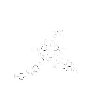 CC[C@H](C)[C@H](NC(=O)OCc1ccc(NC(=O)Cc2ccc(F)cc2)cc1)C(=O)O[C@@H]1C(COP(=O)(O)O[C@H]2[C@@H](O)[C@H](n3ccc(N)nc3=O)O[C@@H]2COP(=O)(O)O)O[C@@H](n2cnc3c(N)ncnc32)[C@@H]1O